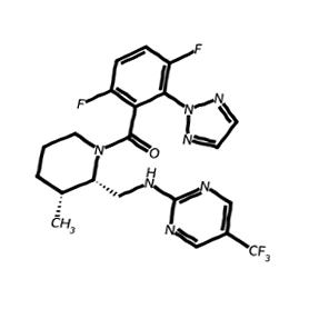 C[C@@H]1CCCN(C(=O)c2c(F)ccc(F)c2-n2nccn2)[C@@H]1CNc1ncc(C(F)(F)F)cn1